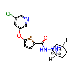 O=C(N[C@@H]1C[C@H]2CC[C@@H]1N2)c1ccc(Oc2cncc(Cl)c2)s1